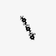 O=C(Cc1ccc(C(F)(F)F)cc1)NCc1ccc(CSc2nc3ccccc3c(=O)o2)cc1